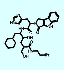 CC(C)CCNC(=O)C(CO)CC(O)C(CC1CCCCC1)NC(=O)C(Cc1c[nH]cn1)N1Cc2c([nH]c3ccccc23)C1=O